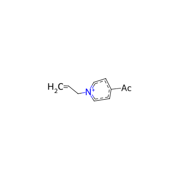 C=CC[n+]1ccc(C(C)=O)cc1